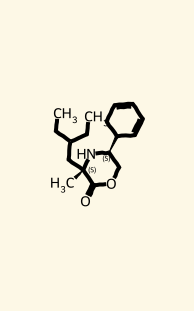 CCC(CC)C[C@]1(C)N[C@@H](C2C=CC=CC2)COC1=O